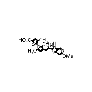 COc1cc2nc(C(C#N)=Cc3cc(C)n(-c4sc(C(=O)O)cc4C)c3C)[nH]c2cn1